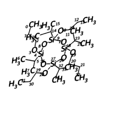 CCCO[Si]1(C(C)C)O[Si](OCCC)(C(C)C)O[Si](OCCC)(C(C)C)O[Si](OCCC)(C(C)C)O1